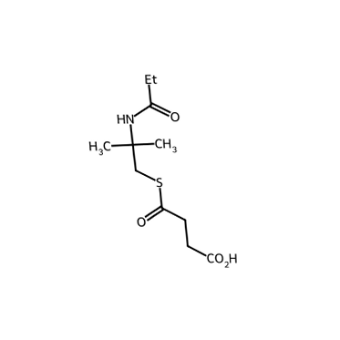 CCC(=O)NC(C)(C)CSC(=O)CCC(=O)O